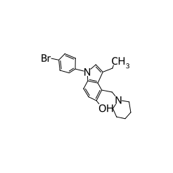 CCc1cn(-c2ccc(Br)cc2)c2ccc(O)c(CN3CCCCC3)c12